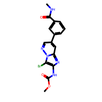 CNC(=O)c1cccc(-c2cnn3c(Br)c(NC(=O)OC)nc3c2)c1